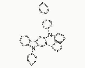 c1ccc(-c2ccc(N(c3ccccc3)c3cc4c5ccccc5n(-c5ccccc5)c4cc3-c3ccccc3)cc2)cc1